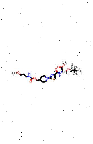 COCCCNC(=O)OCC1CCN(c2nc(C(=O)N[C@@H](CO[Si](C)(C)C(C)(C)C)C(=O)OC)cs2)CC1